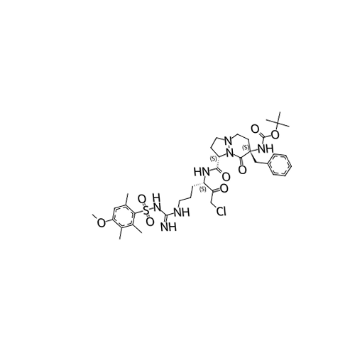 COc1cc(C)c(S(=O)(=O)NC(=N)NCCC[C@H](NC(=O)[C@@H]2CCN3CC[C@](Cc4ccccc4)(NC(=O)OC(C)(C)C)C(=O)N23)C(=O)CCl)c(C)c1C